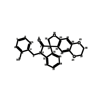 O=C1N(Cc2ncccc2F)c2ccccc2[C@]12COc1cc3c(cc12)OCCO3